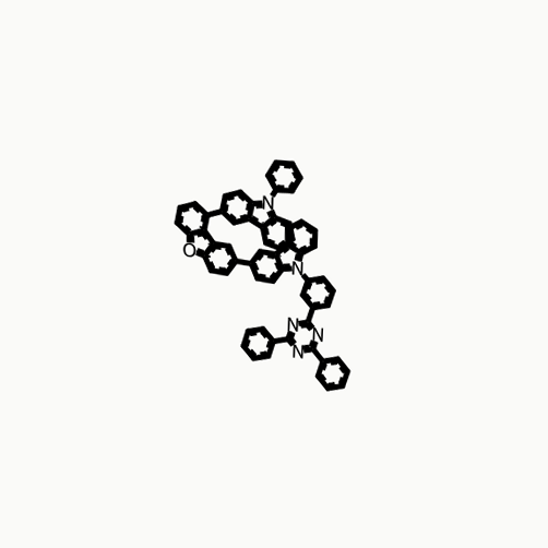 c1ccc(-c2nc(-c3ccccc3)nc(-c3cccc(-n4c5ccccc5c5cc(-c6ccc7oc8cccc(-c9ccc%10c(c9)c9ccccc9n%10-c9ccccc9)c8c7c6)ccc54)c3)n2)cc1